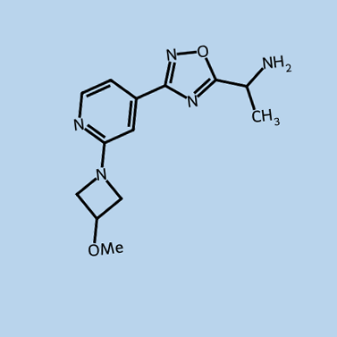 COC1CN(c2cc(-c3noc(C(C)N)n3)ccn2)C1